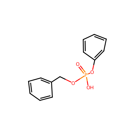 O=P(O)(OCc1ccccc1)Oc1ccccc1